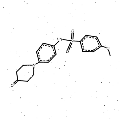 COc1ccc(S(=O)(=O)Nc2ccc(N3CCC(=O)CC3)cc2)cc1